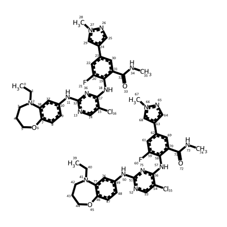 CCN1CCCOc2ccc(Nc3ncc(Cl)c(Nc4c(F)cc(-c5cnn(C)c5)cc4C(=O)NC)n3)cc21.CCN1CCCOc2ccc(Nc3ncc(Cl)c(Nc4c(F)cc(-c5cnn(C)c5)cc4C(=O)NC)n3)cc21